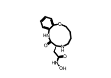 O=C(C[C@@H]1NCCCCOc2ccccc2NC1=O)NO